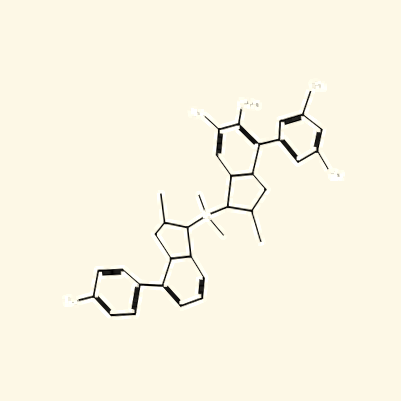 COC1=C(c2cc(C(C)(C)C)cc(C(C)(C)C)c2)C2CC(C)C(S(C)(C)C3C(C)CC4C(c5ccc(C(C)(C)C)cc5)=CC=CC43)C2C=C1C(C)(C)C